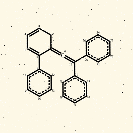 C(=C1CC=CC=C1c1ccccc1)=C(c1ccccc1)c1ccccc1